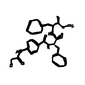 COC(=O)[C@H](Cc1ccccc1)NC(=O)[C@H](Cc1ccccc1)NC(=O)c1ccc(NC(=O)CCl)cc1